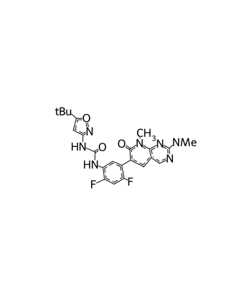 CNc1ncc2cc(-c3cc(NC(=O)Nc4cc(C(C)(C)C)on4)c(F)cc3F)c(=O)n(C)c2n1